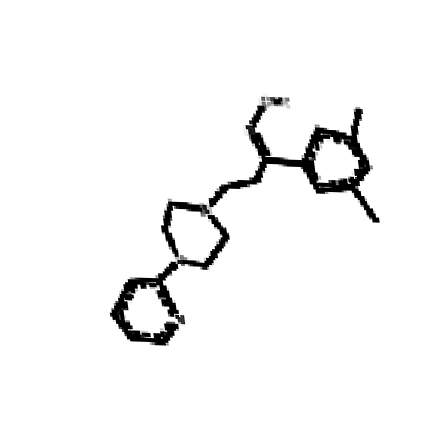 CON=C(CCN1CCN(c2ccccn2)CC1)c1cc(C)cc(C)c1